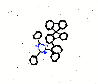 c1ccc(C2NC(c3ccccc3)NC(c3c(-c4cccc5c4-c4ccccc4C54c5ccccc5-c5ccccc54)ccc4ccccc34)N2)cc1